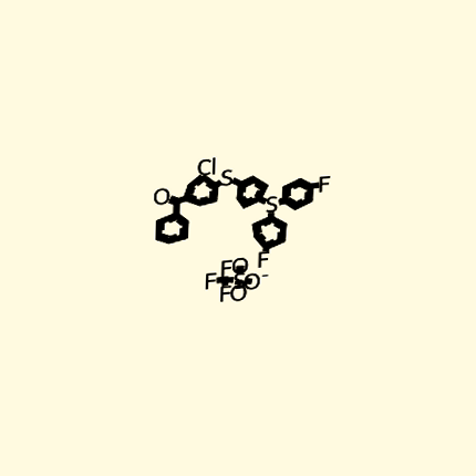 O=C(c1ccccc1)c1ccc(Sc2ccc([S+](c3ccc(F)cc3)c3ccc(F)cc3)cc2)c(Cl)c1.O=S(=O)([O-])C(F)(F)F